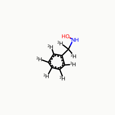 [2H]c1c([2H])c([2H])c(C([2H])([2H])NO)c([2H])c1[2H]